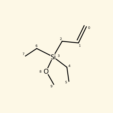 C=CC[Si](CC)(CC)OC